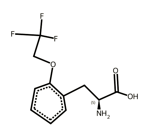 N[C@@H](Cc1ccccc1OCC(F)(F)F)C(=O)O